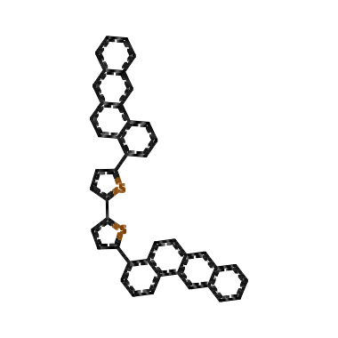 c1ccc2cc3c(ccc4c(-c5ccc(-c6ccc(-c7cccc8c7ccc7cc9ccccc9cc78)s6)s5)cccc43)cc2c1